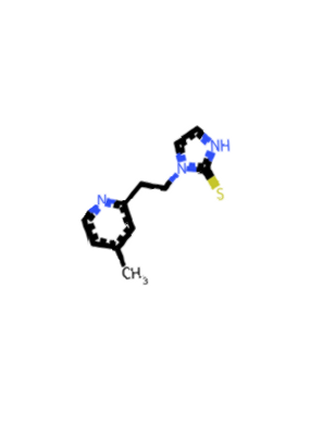 Cc1ccnc(CCn2cc[nH]c2=S)c1